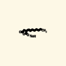 CCCCCCC=CC1CC(=O)OC1=O.[NaH]